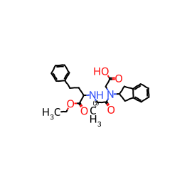 CCOC(=O)C(CCc1ccccc1)N[C@@H](C)C(=O)N(CC(=O)O)C1Cc2ccccc2C1